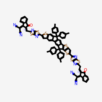 Cc1ccc(C2(c3ccc(C)cc3)c3cc4c(cc3-c3cc5cc(-c6nc7sc(/C=C8\C(=O)c9ccccc9C8=C(C#N)C#N)nc7s6)sc5cc32)C(c2ccc(C)cc2)(c2ccc(C)cc2)c2c-4sc3cc(-c4nc5sc(C/C=C6\C(=O)c7ccccc7C6=C(C#N)C#N)nc5s4)sc23)cc1